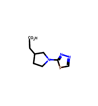 O=C(O)CC1CCN(c2nncs2)C1